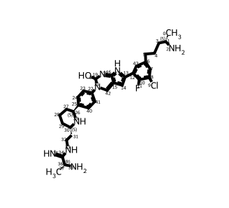 C[C@H](N)CCCc1cc(Cl)c(F)c(-c2cc3c([nH]2)=NC(O)N(c2ccc([C@@H]4CCC[C@@H](CCNC(=N)[C@@H](C)N)N4)cc2)C=3)c1